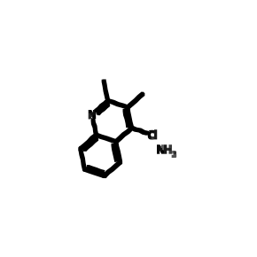 Cc1nc2ccccc2c(Cl)c1C.N